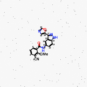 COc1c(C#N)cccc1C(=O)Nc1ccc2[nH]nc(-c3cnco3)c2c1